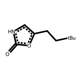 CC(C)(C)CCc1c[nH]c(=O)o1